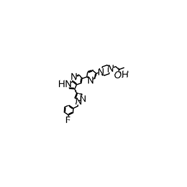 CC(O)CN1CCN(c2ccc(-c3cnc4[nH]cc(-c5cnn(Cc6cccc(F)c6)c5)c4c3)nc2)CC1